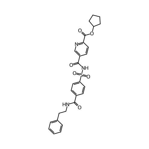 O=C(NCCc1ccccc1)c1ccc(S(=O)(=O)NC(=O)c2ccc(C(=O)OC3CCCC3)nc2)cc1